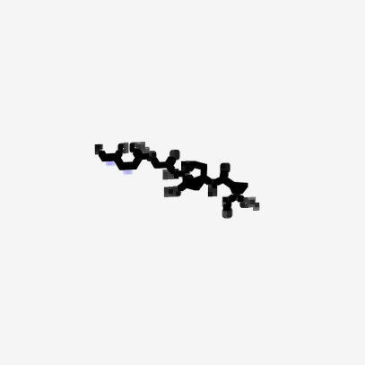 C=C(/C=C\C(Cl)=C\F)OCC(=O)N[PH]12CCC(NC(=O)C3CS3(C)N=O)(CC1O)C2